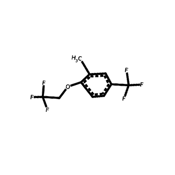 Cc1cc(C(F)(F)F)ccc1OCC(F)(F)F